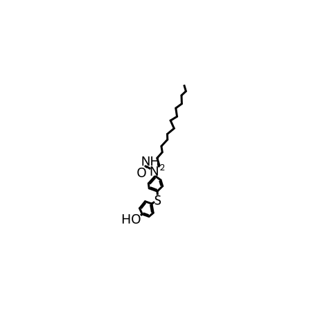 CCCCCCCCCCCCCCN(C(N)=O)c1ccc(Sc2ccc(O)cc2)cc1